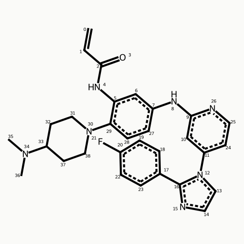 C=CC(=O)Nc1cc(Nc2cc(-n3ccnc3-c3ccc(F)cc3)ccn2)ccc1N1CCC(N(C)C)CC1